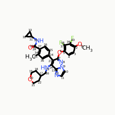 COc1ccc(Oc2nn3ccnc3c(NCC3CCOCC3)c2-c2ccc(C(=O)NC3CC3)c(C)c2)c(F)c1F